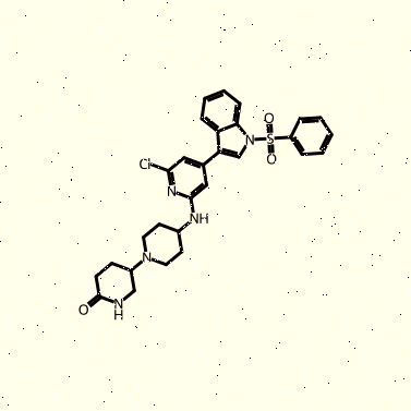 O=C1CCC(N2CCC(Nc3cc(-c4cn(S(=O)(=O)c5ccccc5)c5ccccc45)cc(Cl)n3)CC2)CN1